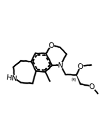 COC[C@@H](CN1CCOc2cc3c(c(C)c21)CCNCC3)OC